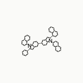 c1ccc(-c2cc3cc(-c4ccc5c(c4)cc(-c4cccc6ccccc46)n5-c4ccc5ccccc5c4)ccc3n2-c2cccc3ccccc23)cc1